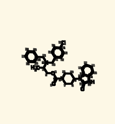 CC(COC(=O)N1CCC(n2c(=O)[nH]c3ccccc32)CC1)N(Cc1ccccc1)Cc1ccc(Cl)cc1